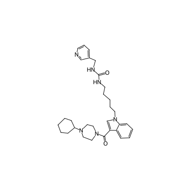 O=C(NCCCCCn1cc(C(=O)N2CCN(C3CCCCC3)CC2)c2ccccc21)NCc1cccnc1